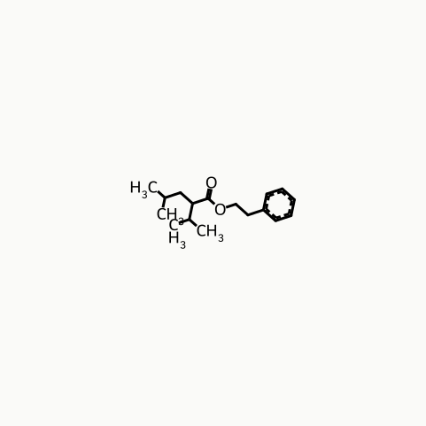 CC(C)CC(C(=O)OCCc1ccccc1)C(C)C